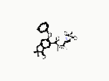 C[C@@H](/C=C/S(C)(=O)=O)NC(=O)c1cc2c(cc1Oc1ccccc1)CC(C)(C)C2=O